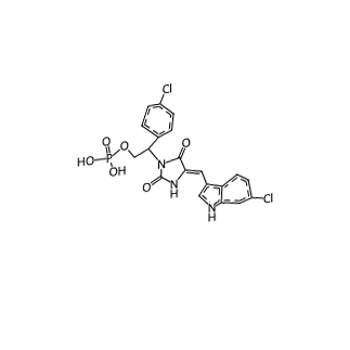 O=C1N/C(=C\c2c[nH]c3cc(Cl)ccc23)C(=O)N1C(COP(=O)(O)O)c1ccc(Cl)cc1